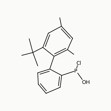 Cc1cc(C)c(-c2ccccc2P(O)Cl)c(C(C)(C)C)c1